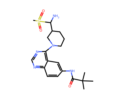 CC(C)(C)C(=O)Nc1ccc2ncnc(N3CCCC(C(N)S(C)(=O)=O)C3)c2c1